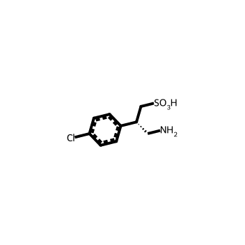 NC[C@@H](CS(=O)(=O)O)c1ccc(Cl)cc1